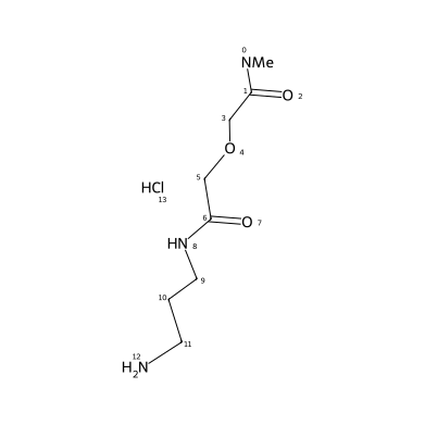 CNC(=O)COCC(=O)NCCCN.Cl